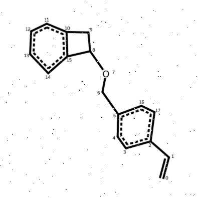 C=Cc1ccc(COC2Cc3ccccc32)cc1